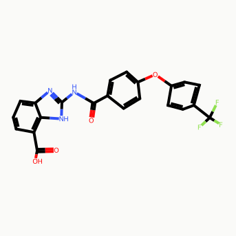 O=C(Nc1nc2cccc(C(=O)O)c2[nH]1)c1ccc(Oc2ccc(C(F)(F)F)cc2)cc1